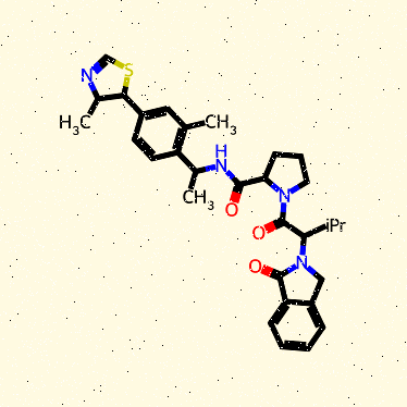 Cc1cc(C2SC=NC2C)ccc1C(C)NC(=O)C1CCCN1C(=O)C(C(C)C)N1Cc2ccccc2C1=O